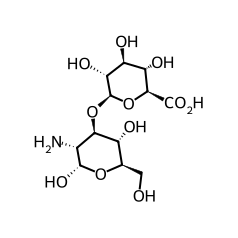 N[C@@H]1[C@@H](O[C@@H]2O[C@H](C(=O)O)[C@@H](O)[C@H](O)[C@H]2O)[C@H](O)[C@@H](CO)O[C@@H]1O